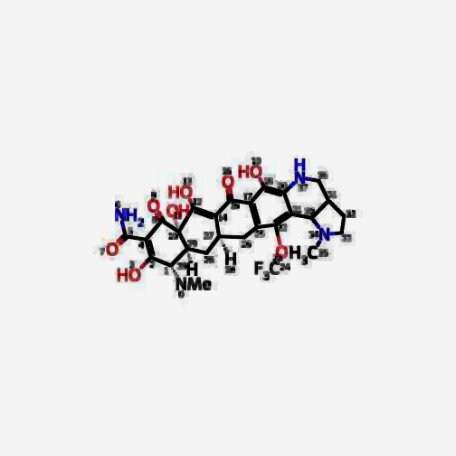 CN[C@@H]1C(O)=C(C(N)=O)C(=O)[C@@]2(O)C(O)=C3C(=O)c4c(O)c5c(c(OC(F)(F)F)c4C[C@H]3C[C@@H]12)C1C(CCN1C)CN5